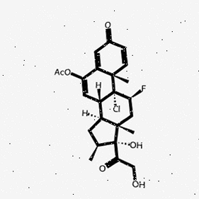 CC(=O)OC1=C[C@H]2[C@@H]3C[C@H](C)[C@](O)(C(=O)CO)[C@@]3(C)C[C@H](F)[C@]2(Cl)[C@@]2(C)C=CC(=O)C=C12